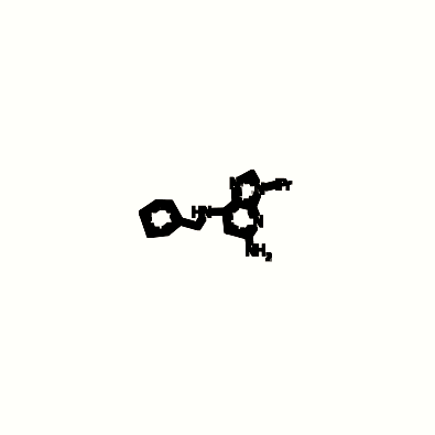 CC(C)n1cnc2c(NCc3ccccc3)cc(N)nc21